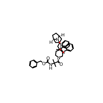 Cc1nc2ccccc2n1C1C[C@H]2CC[C@@H](C1)N2CCC1(c2ccccc2)CCN(C(=O)C(C)(C)NC(=O)OCc2ccccc2)CC1